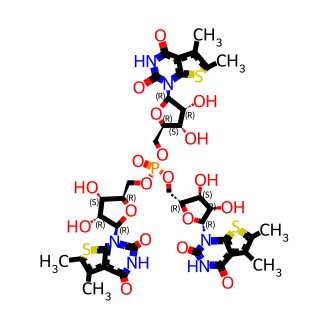 Cc1sc2c(c1C)c(=O)[nH]c(=O)n2[C@@H]1O[C@H](COP(=O)(OC[C@H]2O[C@@H](n3c(=O)[nH]c(=O)c4c(C)c(C)sc43)[C@H](O)[C@@H]2O)OC[C@H]2O[C@@H](n3c(=O)[nH]c(=O)c4c(C)c(C)sc43)[C@H](O)[C@@H]2O)[C@@H](O)[C@H]1O